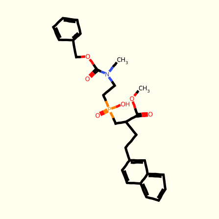 COC(=O)C(CCc1ccc2ccccc2c1)CP(=O)(O)CCN(C)C(=O)OCc1ccccc1